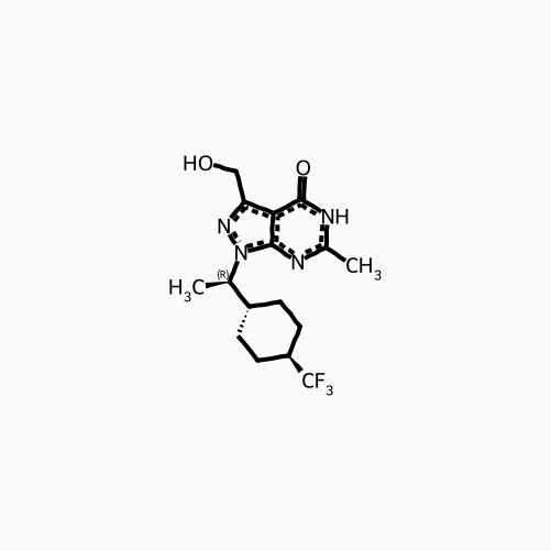 Cc1nc2c(c(CO)nn2[C@H](C)[C@H]2CC[C@H](C(F)(F)F)CC2)c(=O)[nH]1